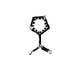 O=[N+]([O-])c1cs[c]n1